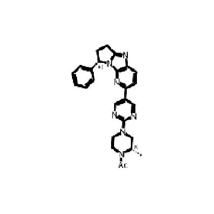 CC(=O)N1CCN(c2ncc(-c3ccc4nc5n(c4n3)[C@@H](c3ccccc3)CC5)cn2)C[C@@H]1C